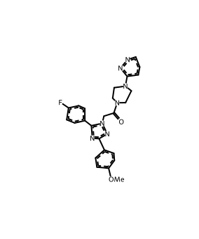 COc1ccc(-c2nc(-c3ccc(F)cc3)n(CC(=O)N3CCN(c4cccnn4)CC3)n2)cc1